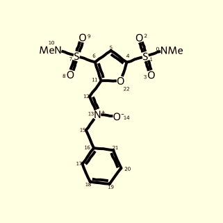 CNS(=O)(=O)c1cc(S(=O)(=O)NC)c(C=[N+]([O-])Cc2ccccc2)o1